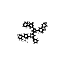 Cc1ccncc1-c1ccc(-c2nc(-c3ccccc3)cc(-c3cc(-c4ccc5oc6ccccc6c5c4)cc(-c4ccc5oc6ccccc6c5c4)c3)n2)cc1